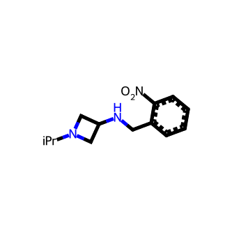 CC(C)N1CC(NCc2ccccc2[N+](=O)[O-])C1